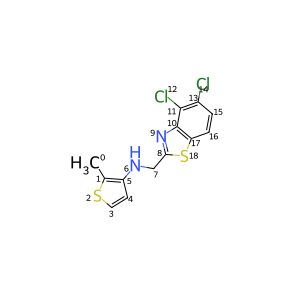 Cc1sccc1NCc1nc2c(Cl)c(Cl)ccc2s1